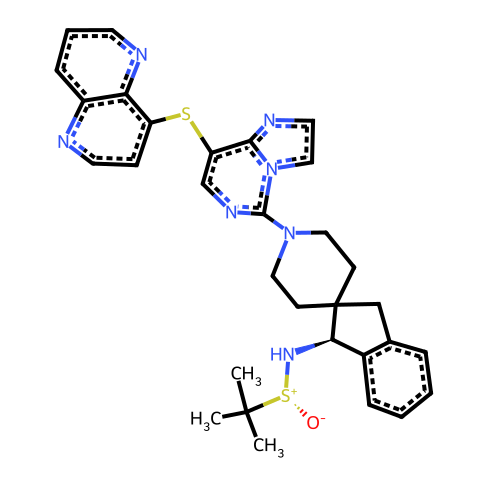 CC(C)(C)[S@@+]([O-])N[C@@H]1c2ccccc2CC12CCN(c1ncc(Sc3ccnc4cccnc34)c3nccn13)CC2